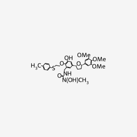 COc1cc([C@H]2CC[C@@H](c3cc(O)c(OCCSc4ccc(C)cc4)c(CNC(=O)N(C)O)c3)O2)cc(OC)c1OC